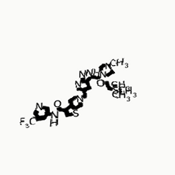 CN1CCN(C(OCC[Si](C)(C)C)c2[nH]nc3ncc(CN4CCc5c(C(=O)Nc6cncc(C(F)(F)F)c6)csc5C4)cc23)CC1